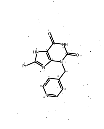 CC(C)c1nc2c([nH]1)c(=O)[nH]c(=O)n2Cc1ccncc1